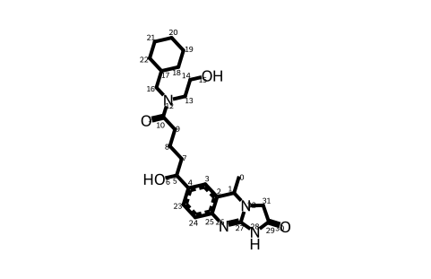 CC1c2cc(C(O)CCCC(=O)N(CCO)CC3CCCCC3)ccc2N=C2NC(=O)CN21